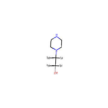 [2H]C([2H])(O)C([2H])([2H])N1CCNCC1